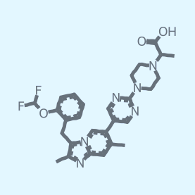 Cc1cc2nc(C)c(Cc3ccccc3OC(F)F)n2cc1-c1cnc(N2CCN(C(C)C(=O)O)CC2)nc1